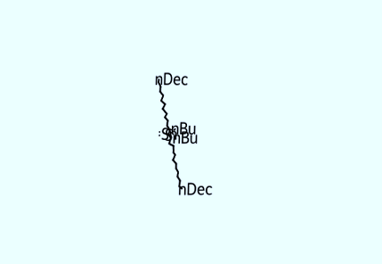 CCCCCCCCCCCCCCCCCCCCCCSCCCCCCCCCCCCCCCCCCCCCC.CCC[CH2][Sn][CH2]CCC